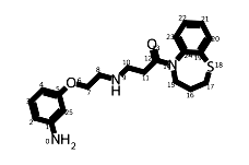 Nc1cccc(OCCNCCC(=O)N2CCCSc3ccccc32)c1